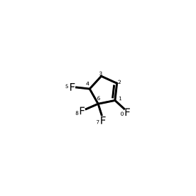 FC1=CCC(F)C1(F)F